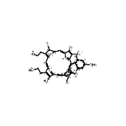 CCC1=C(CC)/C2=C/C3NC(=C(CCO)C3C)/C=C3N=C(/C=c4\[nH]/c(c(CC)c4CC)=C(/c4c(CO)cc(OC)cc4OC)C1=N2)C(C)=C\3CCO